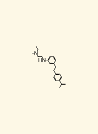 C=C(C)c1ccc(CCc2cccc(NCCN(C)CC)c2)cc1